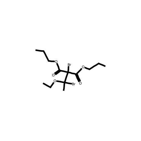 CCCOC(=O)C(Br)(C(=O)OCCC)C(C)(Br)OCC